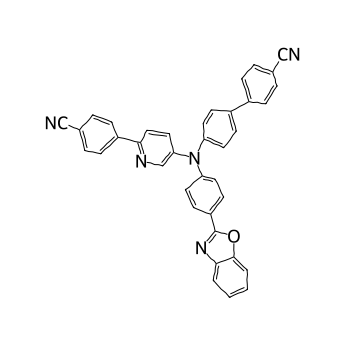 N#Cc1ccc(-c2ccc(N(c3ccc(-c4nc5ccccc5o4)cc3)c3ccc(-c4ccc(C#N)cc4)nc3)cc2)cc1